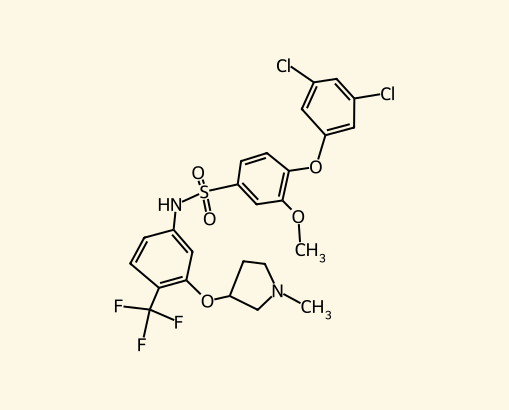 COc1cc(S(=O)(=O)Nc2ccc(C(F)(F)F)c(OC3CCN(C)C3)c2)ccc1Oc1cc(Cl)cc(Cl)c1